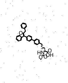 COC(=O)N[C@@H](CSCc1ccc(-c2ccc(-c3c(Cc4ccccc4)oc4ccccc34)cc2)cc1)C(=O)O